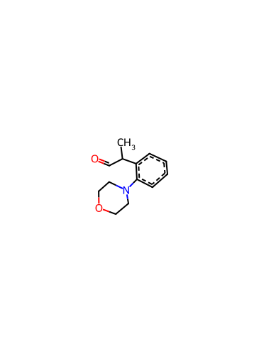 CC(C=O)c1ccccc1N1CCOCC1